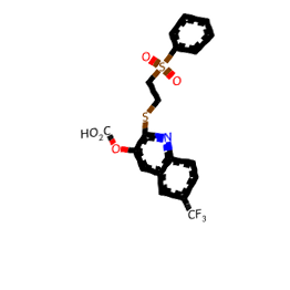 O=C(O)Oc1cc2cc(C(F)(F)F)ccc2nc1SCCS(=O)(=O)c1ccccc1